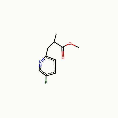 COC(=O)C(C)Cc1ccc(F)cn1